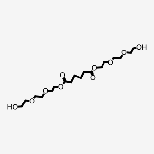 O=C(CCCCC(=O)OCCOCCOCCO)OCCOCCOCCO